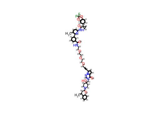 Cc1ccc(NC(=O)C2(c3ccc4c(c3)OC(F)(F)O4)CC2)nc1-c1cccc(C(=O)NCCOCCOCCOCC#Cc2ccc3c(=O)n(CC4(O)CCN(C(=O)C[C@@H](C)c5ccccc5)CC4)cnn23)c1